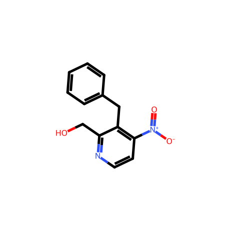 O=[N+]([O-])c1ccnc(CO)c1Cc1ccccc1